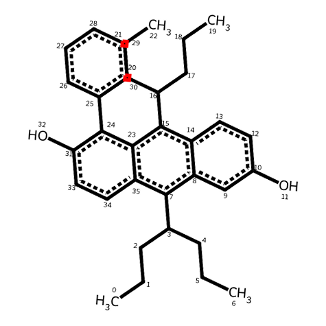 CCCC(CCC)c1c2cc(O)ccc2c(C(CCC)CCC)c2c(-c3ccccc3)c(O)ccc12